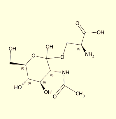 CC(=O)N[C@@H]1[C@@H](O)[C@H](O)[C@@H](CO)OC1(O)OC[C@H](N)C(=O)O